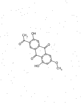 COc1cc(O)c2c(c1)C(=O)c1cc(O)c(C(C)=O)cc1C2=O